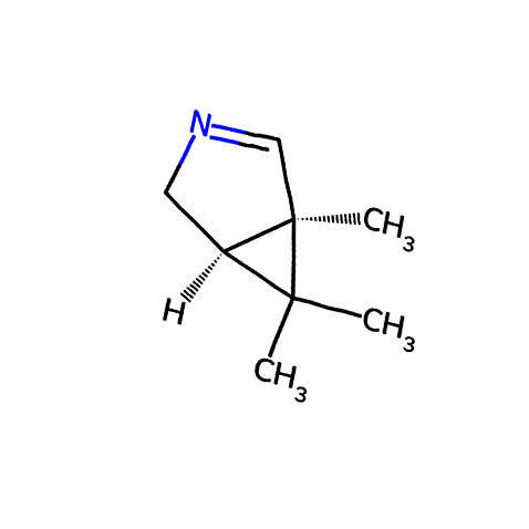 CC1(C)[C@H]2CN=C[C@]21C